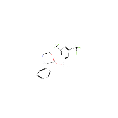 C[C@H](O[C@@H]1OCCN[C@H]1c1ccccc1)c1cc(C(F)(F)F)cc(C(F)(F)F)c1